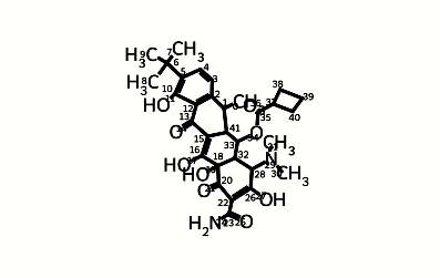 CC1c2ccc(C(C)(C)C)c(O)c2C(=O)C2=C(O)C3(O)C(=O)C(C(N)=O)=C(O)C(N(C)C)C3C(OC(=O)C3CCC3)C21